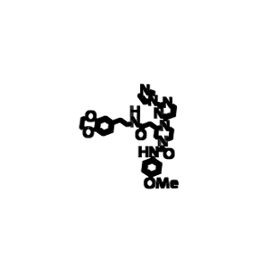 COc1ccc(NC(=O)N2CCN(c3ccnc(-n4ccnc4)n3)C(CC(=O)NCCc3ccc4c(c3)OCCO4)C2)cc1